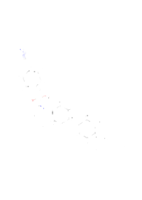 CC(F)(F)c1ccc(-c2ccc3c(c2)CCN3S(=O)(=O)c2ccc(C#N)cc2)cc1